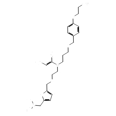 COCCOc1ccc(CSCCCN(CCSCc2ccc(CN(C)C)o2)C(N)=C[N+](=O)[O-])cc1